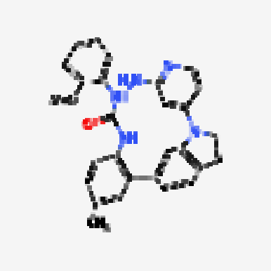 COc1ccccc1NC(=O)Nc1ccc(C)cc1-c1ccc2ccn(-c3ccnc(N)c3)c2c1